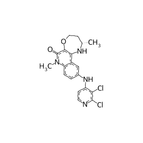 C[C@H]1CCOc2c(c3cc(Nc4ccnc(Cl)c4Cl)ccc3n(C)c2=O)N1